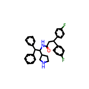 O=C(CC(c1ccc(F)cc1)c1ccc(F)cc1)NC(C1CCNC1)C(c1ccccc1)c1ccccc1